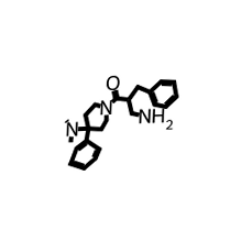 CN(C)C1(c2ccccc2)CCN(C(=O)C(CN)Cc2ccccc2)CC1